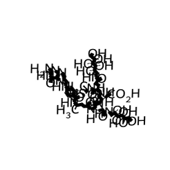 C[C@H](CCC(=O)N[C@@H](CCC(=O)NC[C@H](O)[C@@H](O)[C@H](O)[C@H](O)CO)C(=O)N[C@@H](CCC(=O)O)C(=O)N[C@@H](CCC(=O)NC[C@H](O)[C@@H](O)[C@H](O)[C@H](O)CO)C(=O)N[C@H](C)CS)NC(=O)c1ccc(NCc2cnc3nc(N)[nH]c(=O)c3n2)cc1